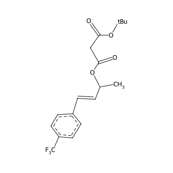 CC(C=Cc1ccc(C(F)(F)F)cc1)OC(=O)CC(=O)OC(C)(C)C